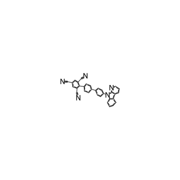 N#Cc1cc(C#N)c(-c2ccc(-c3ccc(-n4c5ccccc5c5cccnc54)cc3)cc2)c(C#N)c1